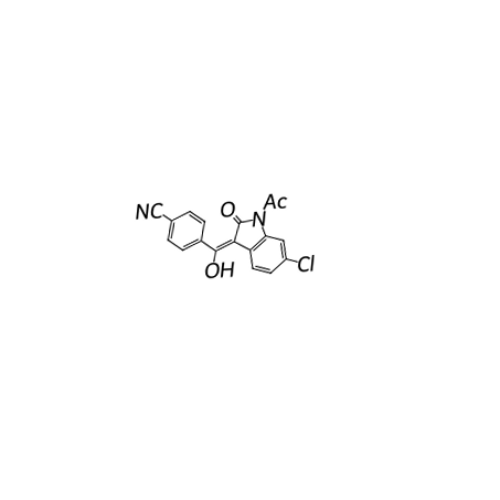 CC(=O)N1C(=O)/C(=C(/O)c2ccc(C#N)cc2)c2ccc(Cl)cc21